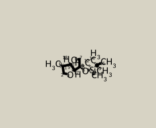 C[C@@H]1CO[C@H]2[C@@H]1OC[C@H]2O[Si](C)(C)C(C)(C)C